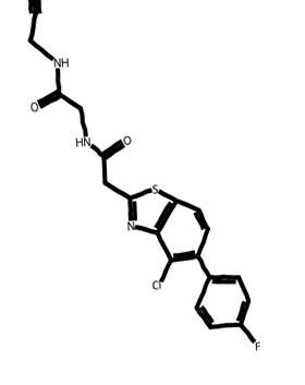 N#CCNC(=O)CNC(=O)Cc1nc2c(Cl)c(-c3ccc(F)cc3)ccc2s1